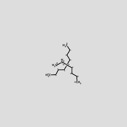 CCCC[Si](CCCC)(CCCC)[SiH2][SiH3]